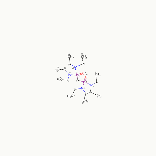 CCN(CC)P(=O)(CP(=O)(N(CC)CC)N(CC)CC)N(CC)CC